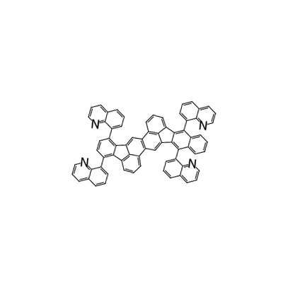 c1cnc2c(-c3ccc(-c4cccc5cccnc45)c4c5cc6c(cc7c8c(-c9cccc%10cccnc9%10)c9ccccc9c(-c9cccc%10cccnc9%10)c8c8cccc6c87)c6cccc(c34)c65)cccc2c1